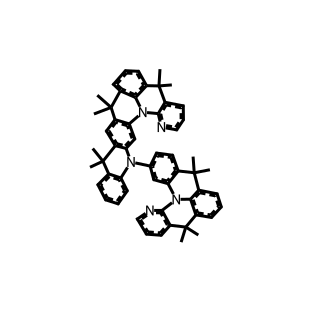 CC1(C)c2ccccc2N(c2ccc3c(c2)N2c4ncccc4C(C)(C)c4cccc(c42)C3(C)C)c2cc3c(cc21)C(C)(C)c1cccc2c1N3c1ncccc1C2(C)C